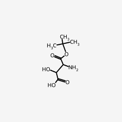 CC(C)(C)OC(=O)C(N)C(O)C(=O)O